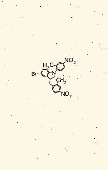 Cc1cc([N+](=O)[O-])ccc1CC1CN(c2ccc([N+](=O)[O-])cc2C)c2ccc(Br)cc21